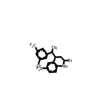 CCC1CC(C(C#N)c2cc(C(F)(F)F)cc(C(F)(F)F)c2)c2cc(C(F)(F)F)ccc2N1